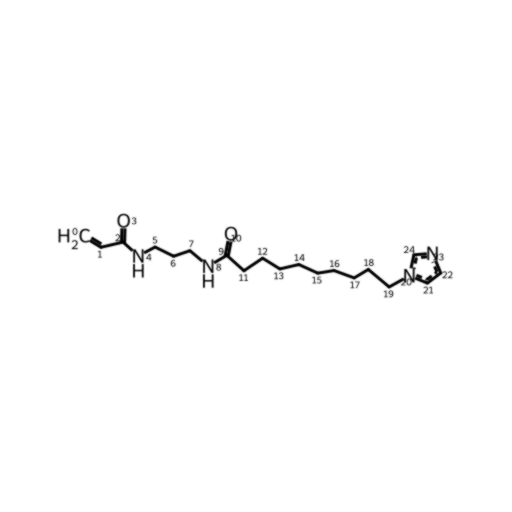 C=CC(=O)NCCCNC(=O)CCCCCCCCCn1ccnc1